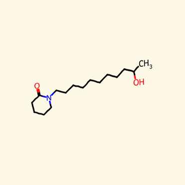 CC(O)CCCCCCCCCN1CCCCC1=O